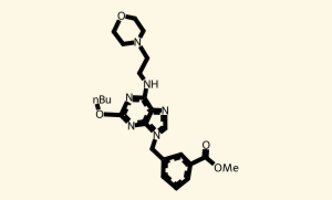 CCCCOc1nc(NCCN2CCOCC2)c2ncn(Cc3cccc(C(=O)OC)c3)c2n1